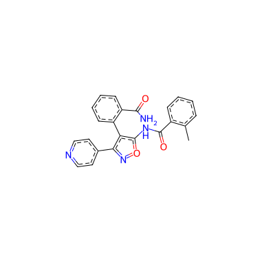 Cc1ccccc1C(=O)Nc1onc(-c2ccncc2)c1-c1ccccc1C(N)=O